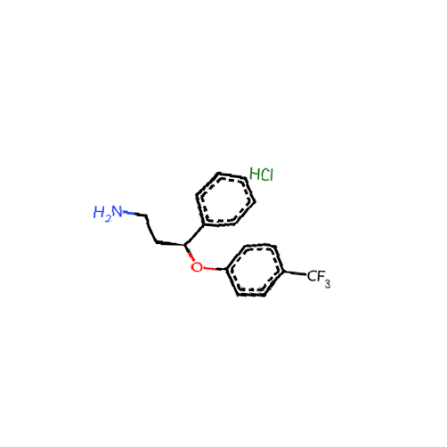 Cl.NCC[C@H](Oc1ccc(C(F)(F)F)cc1)c1ccccc1